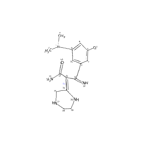 CN(C)c1cc(Cl)cc(C(=N)/C(C(N)=O)=C2/CNCCN2)c1